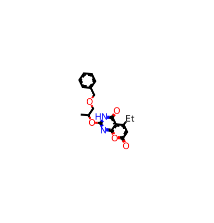 CCc1cc(=O)oc2nc(OC(C)COCc3ccccc3)[nH]c(=O)c12